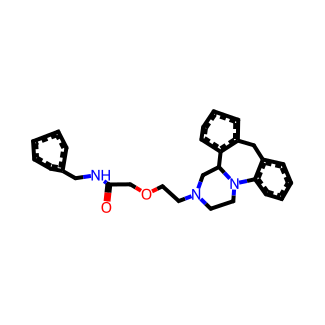 O=C(COCCN1CCN2c3ccccc3Cc3ccccc3C2C1)NCc1ccccc1